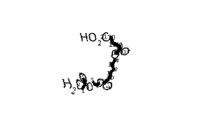 C=CC(=O)OCCOC(=O)CCCCCOC(=O)CCCC(=O)O